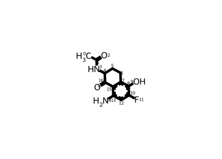 CC(=O)NC1CCc2c(O)c(F)cc(N)c2C1=O